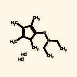 CC[N](CC)[Ti][C]1=C(C)C(C)=C(C)C1C.Cl.Cl